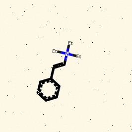 CC[N+](C=Cc1ccccc1)(CC)CC